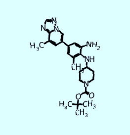 Cc1cc(-c2cc(C)c3ncnn3c2)cc(N)c1NC1CCN(C(=O)OC(C)(C)C)CC1